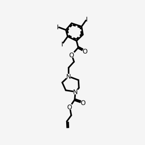 C=CCOC(=O)N1CCN(CCOC(=O)c2cc(I)cc(I)c2I)CC1